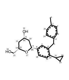 Cc1ccc(Cc2cc([C@H]3C[C@@H](O)C[C@@H](CO)O3)ccc2C2CC2)cc1